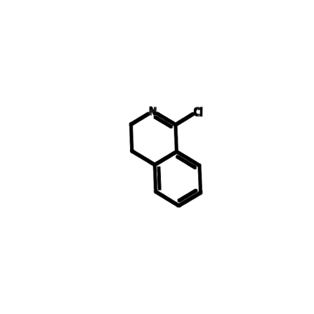 ClC1=NCCc2ccccc21